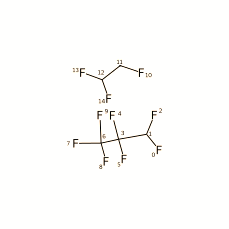 FC(F)C(F)(F)C(F)(F)F.FCC(F)F